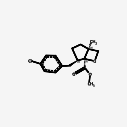 COC(=O)[C@@]12OC[C@]1(C)CC[C@@H]2Cc1ccc(Cl)cc1